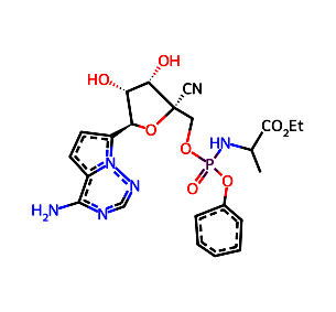 CCOC(=O)C(C)NP(=O)(OC[C@@]1(C#N)O[C@@H](c2ccc3c(N)ncnn23)[C@H](O)[C@@H]1O)Oc1ccccc1